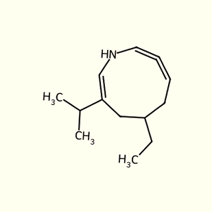 CCC1CC=C=CN/C=C(/C(C)C)C1